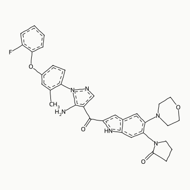 Cc1cc(Oc2ccccc2F)ccc1-n1ncc(C(=O)c2cc3cc(N4CCOCC4)c(N4CCCC4=O)cc3[nH]2)c1N